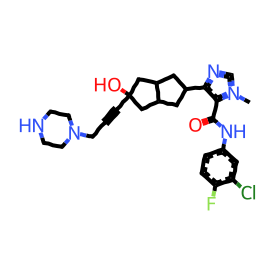 Cn1cnc(C2CC3CC(O)(C#CCN4CCNCC4)CC3C2)c1C(=O)Nc1ccc(F)c(Cl)c1